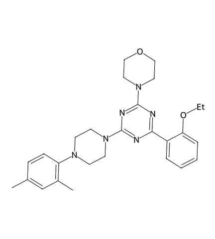 CCOc1ccccc1-c1nc(N2CCOCC2)nc(N2CCN(c3ccc(C)cc3C)CC2)n1